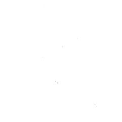 Cc1cc2c(cc1C)C(C)(C)C1(C=Nc3cc([N+](=O)[O-])ccc3O1)N2C